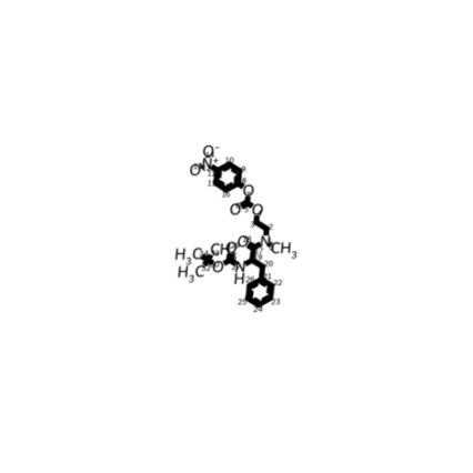 CN(CCOC(=O)Oc1ccc([N+](=O)[O-])cc1)C(=O)C(Cc1ccccc1)NC(=O)OC(C)(C)C